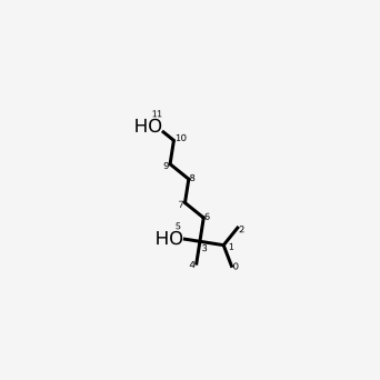 CC(C)C(C)(O)CCCCCO